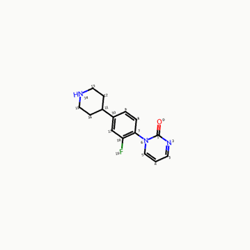 O=c1ncccn1-c1ccc(C2CCNCC2)cc1F